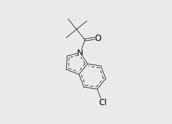 CC(C)(C)C(=O)n1ccc2cc(Cl)ccc21